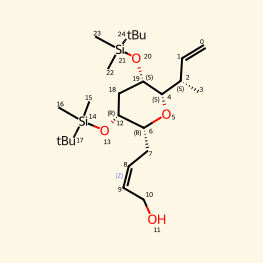 C=C[C@H](C)[C@@H]1O[C@H](C/C=C\CO)[C@H](O[Si](C)(C)C(C)(C)C)C[C@@H]1O[Si](C)(C)C(C)(C)C